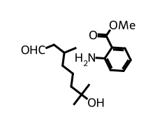 CC(CC=O)CCCC(C)(C)O.COC(=O)c1ccccc1N